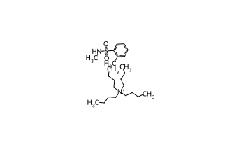 CCCC[N+](CCCC)(CCCC)CCCC.CNS(=O)(=O)c1ccccc1C